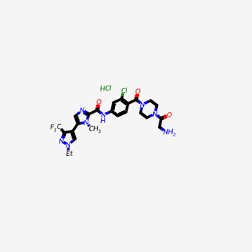 CCn1cc(-c2cnc(C(=O)Nc3ccc(C(=O)N4CCN(C(=O)CN)CC4)c(Cl)c3)n2C)c(C(F)(F)F)n1.Cl